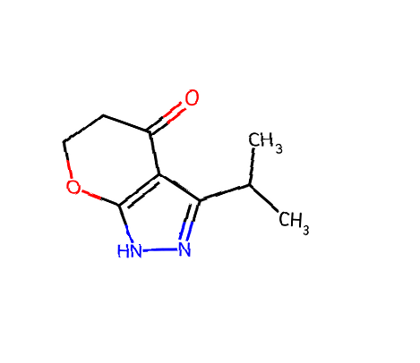 CC(C)c1n[nH]c2c1C(=O)CCO2